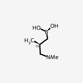 CNC[C@@H](C)CB(O)O